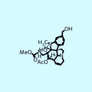 CC[C@]12C=CCN3CC[C@@]4(c5ccc(CO)cc5N(C)[C@H]4C(O)(CNC(=O)OC)[C@@H]1OC(C)=O)[C@@H]32